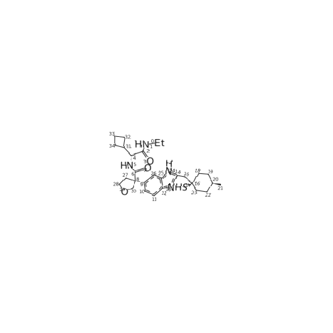 CCNC(=O)[C@H](NC(=O)C1(c2ccc3nc(C[C@]4(S)CC[C@@H](C)CC4)[nH]c3c2)CCOC1)C1CCC1